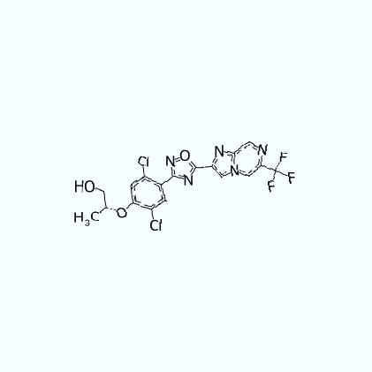 CC(CO)Oc1cc(Cl)c(-c2noc(-c3cn4cc(C(F)(F)F)ncc4n3)n2)cc1Cl